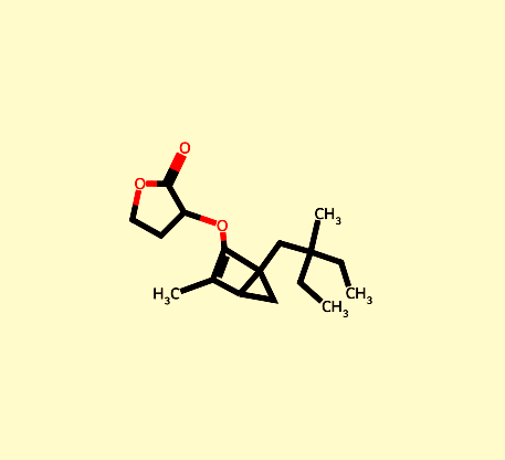 CCC(C)(CC)CC12CC1C(C)=C2OC1CCOC1=O